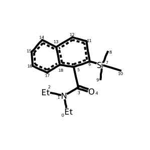 CCN(CC)C(=O)c1c([Si](C)(C)C)ccc2ccccc12